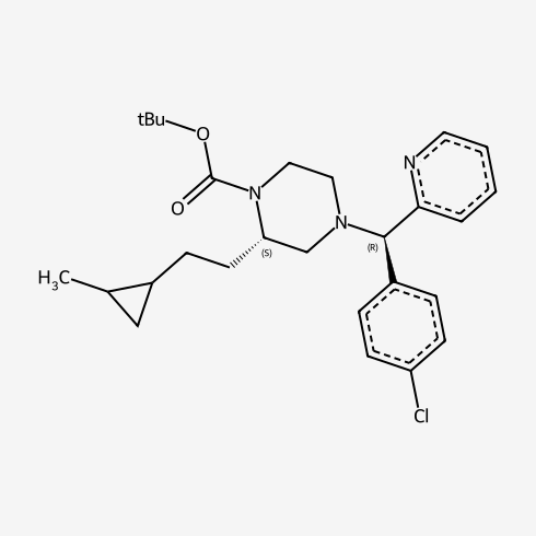 CC1CC1CC[C@H]1CN([C@H](c2ccc(Cl)cc2)c2ccccn2)CCN1C(=O)OC(C)(C)C